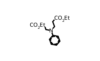 CCOC(=O)CCN(CC(=O)OCC)c1ccccc1